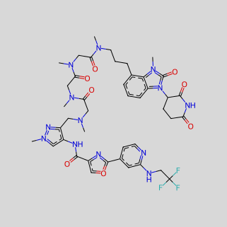 CN(CC(=O)N(C)CC(=O)N(C)CC(=O)N(C)CCCc1cccc2c1n(C)c(=O)n2C1CCC(=O)NC1=O)Cc1nn(C)cc1NC(=O)c1coc(-c2ccnc(NCC(F)(F)F)c2)n1